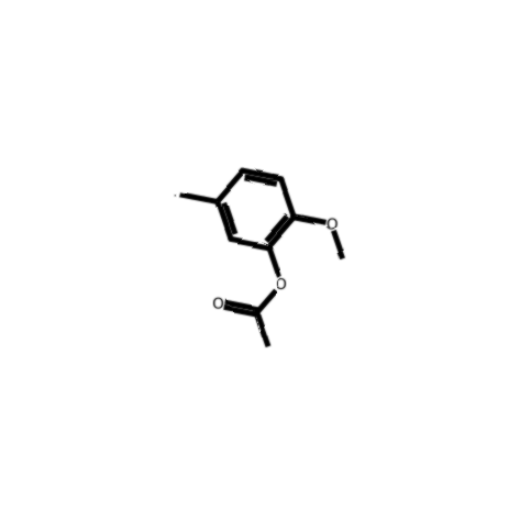 [CH2]c1ccc(OC)c(OC(C)=O)c1